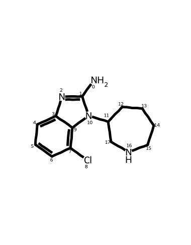 Nc1nc2cccc(Cl)c2n1C1CCCCNC1